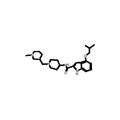 CC(C)COc1cccc2[nH]c(C(=O)NC3CCN(CC4CCCN(C)C4)CC3)cc12